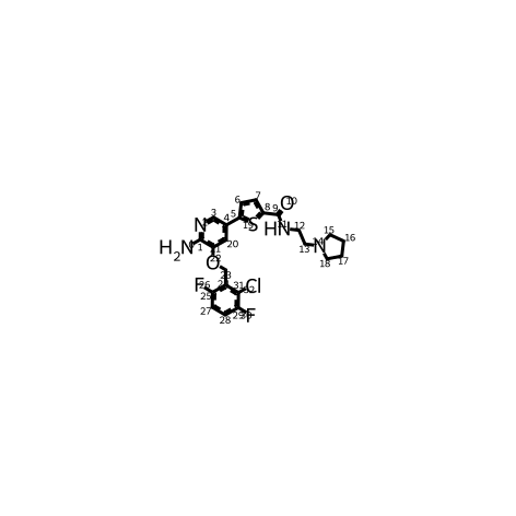 Nc1ncc(-c2ccc(C(=O)NCCN3CCCC3)s2)cc1OCc1c(F)ccc(F)c1Cl